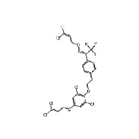 FC(F)(F)C(=NOCC=C(Cl)Cl)c1ccc(CCOc2c(Cl)cc(OCC=C(Cl)Cl)cc2Cl)cc1